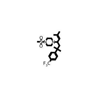 CC(C)=CC(CC(C)(C)c1ccc(C(F)(F)F)cc1)N1CCN(S(C)(=O)=O)CC1